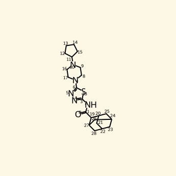 O=C(Nc1nnc(N2CCN(C3CCCC3)CC2)s1)C1C2CC3CC(C2)CC1C3